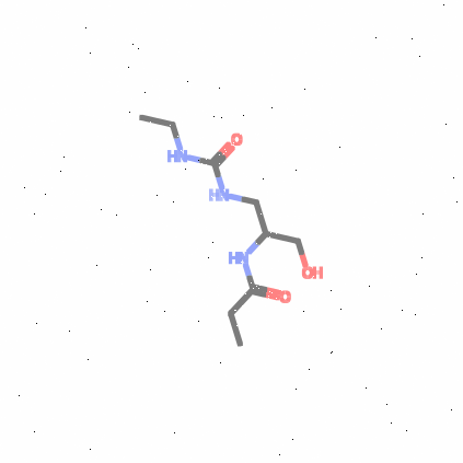 CCNC(=O)NCC(CO)NC(=O)CC